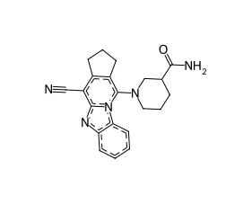 N#Cc1c2c(c(N3CCCC(C(N)=O)C3)n3c1nc1ccccc13)CCC2